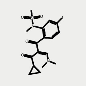 CN(C)/C=C(/C(=O)c1ccc(I)cc1N(C)S(C)(=O)=O)C(=O)C1CC1